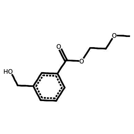 COCCOC(=O)c1cccc(CO)c1